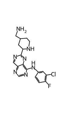 NCC1CCNC(c2ncc3ncnc(Nc4ccc(F)c(Cl)c4)c3n2)C1